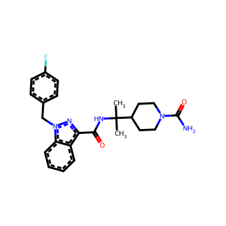 CC(C)(NC(=O)c1nn(Cc2ccc(F)cc2)c2ccccc12)C1CCN(C(N)=O)CC1